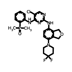 CP(C)(=O)c1ccccc1Nc1nc(Nc2ccc(N3CCC(F)(F)CC3)c3c2COC3)ncc1Cl